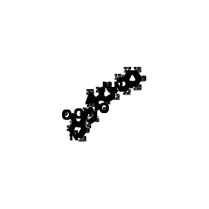 O=C1O[C@]2(CCN(C(=O)C3(c4ccc(N5Cc6ccccc6C5)nc4)CC3)C2)c2ccncc21